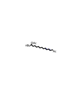 CCCCC(CCCCCCC/C=C/C=C/CC(C)=O)OC(C)=O